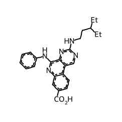 CCC(CC)CCNc1ncc2c(n1)c(Nc1ccccc1)nc1cc(C(=O)O)ccc12